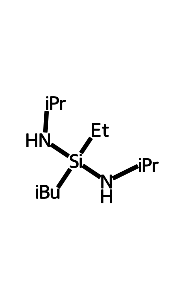 CCC(C)[Si](CC)(NC(C)C)NC(C)C